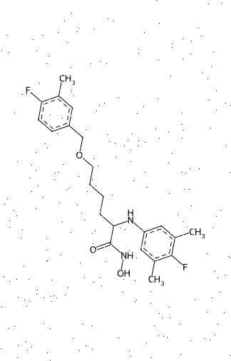 Cc1cc(COCCCCC(Nc2cc(C)c(F)c(C)c2)C(=O)NO)ccc1F